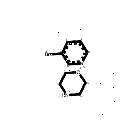 Brc1cccnc1.C1COCCN1